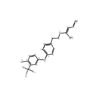 N=C/C=C(\N)OCCc1ccc(Oc2ccc(Cl)c(C(F)(F)F)c2)cc1